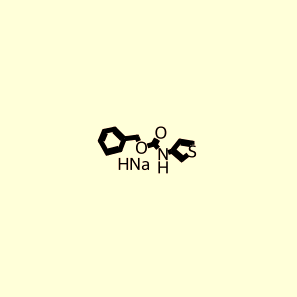 O=C(Nc1ccsc1)OCc1ccccc1.[NaH]